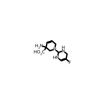 NC1(C(=O)O)C=CCN(C2NC=C(F)CN2)C1